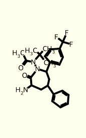 CC(=O)N(N1C(=O)C(N)CC(c2ccccc2)CC1c1ccc(C(F)(F)F)cc1)C(C)(C)C